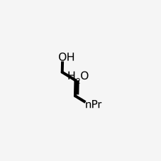 CCCC=CCO.O